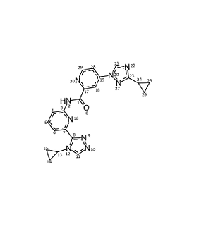 O=C(Nc1cccc(-c2nncn2C2CC2)n1)c1cc(-n2cnc(C3CC3)n2)ccn1